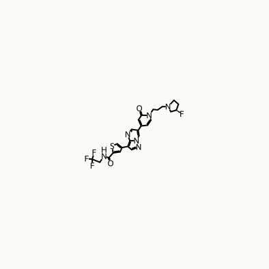 O=C(NCC(F)(F)F)c1cc(-c2cnn3cc(-c4ccn(CCCN5CC[C@@H](F)C5)c(=O)c4)cnc23)cs1